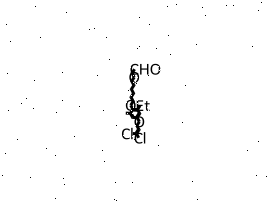 CCc1cc(OCC=C(Cl)Cl)cc(C)c1OCCCCCCOCC=O